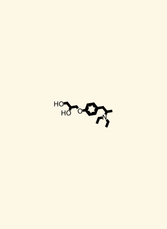 CCN(CC)C(C)Cc1ccc(OCC(O)CO)cc1